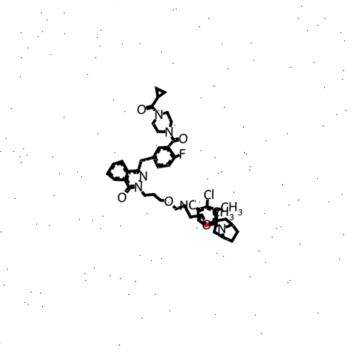 Cc1c(N2C3CCC2CC(C)(OCCCCOCCCn2nc(Cc4ccc(F)c(C(=O)N5CCN(C(=O)C6CC6)CC5)c4)c4ccccc4c2=O)C3)ccc(C#N)c1Cl